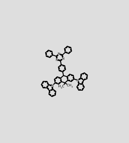 CC1(C)c2cc(-n3c4ccccc4c4ccccc43)ccc2C(c2ccc(-c3nc(-c4ccccc4)nc(-c4ccccc4)n3)cc2)c2ccc(-n3c4ccccc4c4ccccc43)cc21